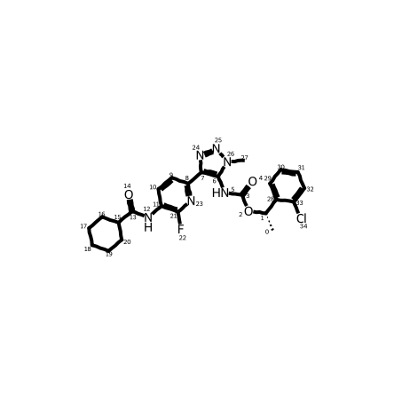 C[C@H](OC(=O)Nc1c(-c2ccc(NC(=O)C3CCCCC3)c(F)n2)nnn1C)c1ccccc1Cl